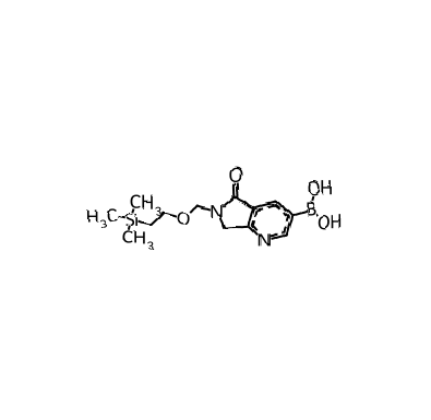 C[Si](C)(C)CCOCN1Cc2ncc(B(O)O)cc2C1=O